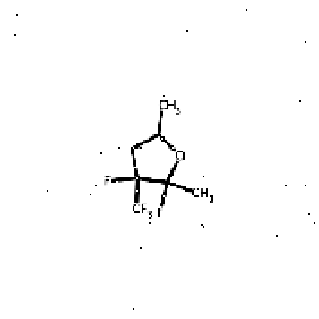 CC1CC(F)(C(F)(F)F)C(C)(F)O1